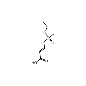 CCOP(C)(=O)C/C=C/C(=O)O